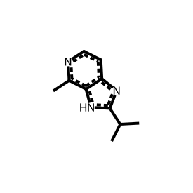 Cc1nccc2nc(C(C)C)[nH]c12